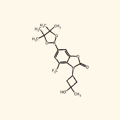 CC1(O)CC(n2c(=O)oc3cc(B4OC(C)(C)C(C)(C)O4)cc(C(F)(F)F)c32)C1